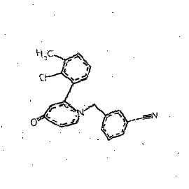 Cc1cccc(-c2cc(=O)ccn2Cc2cccc(C#N)c2)c1Cl